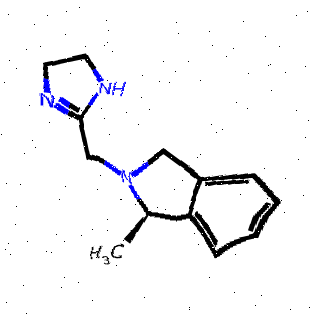 C[C@@H]1c2ccccc2CN1CC1=NCCN1